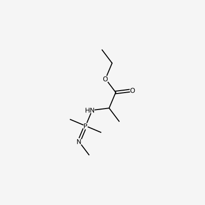 CCOC(=O)C(C)NP(C)(C)=NC